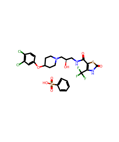 O=C(NC[C@@H](O)CN1CCC(Oc2ccc(Cl)c(Cl)c2)CC1)c1sc(=O)[nH]c1C(F)(F)F.O=S(=O)(O)c1ccccc1